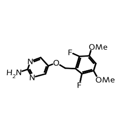 COc1cc(OC)c(F)c(COc2cnc(N)nc2)c1F